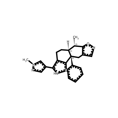 C[C@@H]1c2oncc2C[C@]2(c3ccccc3)c3n[nH]c(-c4cnn(C)c4)c3CC[C@@H]12